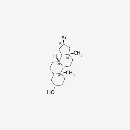 CC(=O)[C@@H]1CC2[C@H]3CCC4CC(O)CC[C@@]4(C)C3CC[C@@]2(C)C1